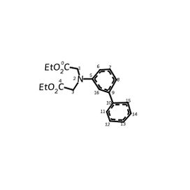 CCOC(=O)CN(CC(=O)OCC)c1cccc(-c2ccccc2)c1